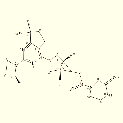 C[C@H]1CCN1c1nc(N2C[C@@H]3C(CC(=O)N4CCNC(=O)C4)[C@@H]3C2)c2c(n1)C(F)(F)CC2